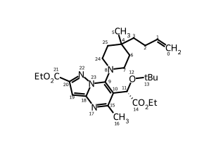 C=CCCC1(C)CCN(c2c([C@H](OC(C)(C)C)C(=O)OCC)c(C)nc3cc(C(=O)OCC)nn23)CC1